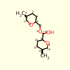 C=C1CCC(COC(O)C2CCC(=C)CO2)OC1